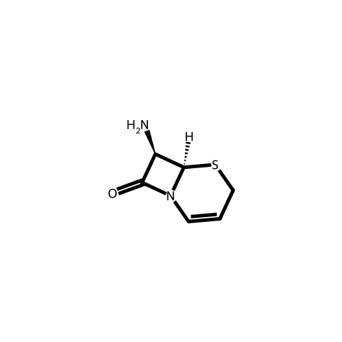 N[C@@H]1C(=O)N2C=CCS[C@H]12